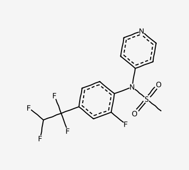 CS(=O)(=O)N(c1ccncc1)c1ccc(C(F)(F)C(F)F)cc1F